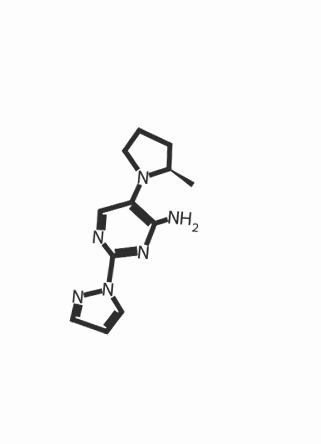 C[C@@H]1CCCN1c1cnc(-n2cccn2)nc1N